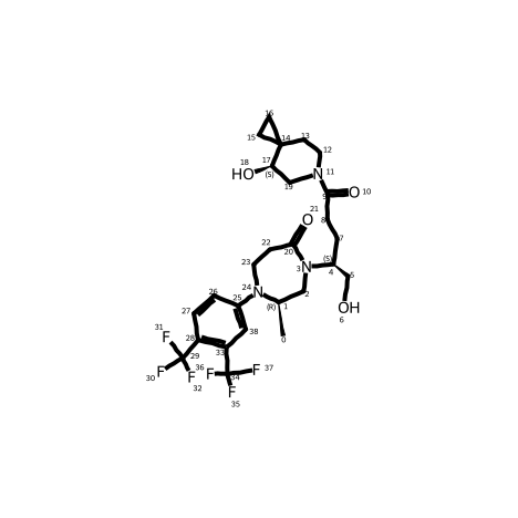 C[C@@H]1CN([C@H](CO)CCC(=O)N2CCC3(CC3)[C@H](O)C2)C(=O)CCN1c1ccc(C(F)(F)F)c(C(F)(F)F)c1